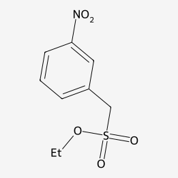 CCOS(=O)(=O)Cc1cccc([N+](=O)[O-])c1